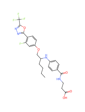 CCCCC(COc1ccc(-c2nnc(C(F)(F)F)o2)c(F)c1)Nc1ccc(C(=O)NCCC(=O)O)cc1